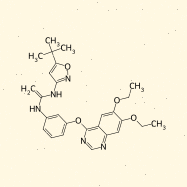 C=C(Nc1cccc(Oc2ncnc3cc(OCC)c(OCC)cc23)c1)Nc1cc(C(C)(C)C)on1